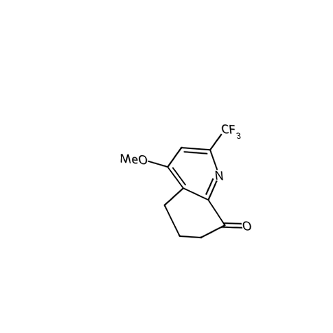 COc1cc(C(F)(F)F)nc2c1CCCC2=O